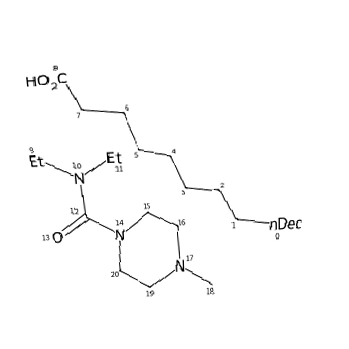 CCCCCCCCCCCCCCCCCC(=O)O.CCN(CC)C(=O)N1CCN(C)CC1